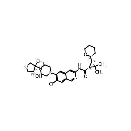 CC1(C)[C@@H]([C@@H]2CCCCO2)[C@@H]1C(=O)Nc1cc2cc(N3CCN([C@@]4(C)COC[C@H]4O)CC3)c(Cl)cc2cn1